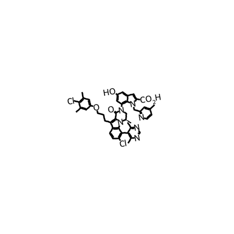 Cc1ccnc(Cn2c(C(=O)O)cc3cc(O)cc(N4C[C@@H](C)n5c(c(CCCOc6cc(C)c(Cl)c(C)c6)c6ccc(Cl)c(-c7c(C)ncnc7C)c65)C4=O)c32)c1